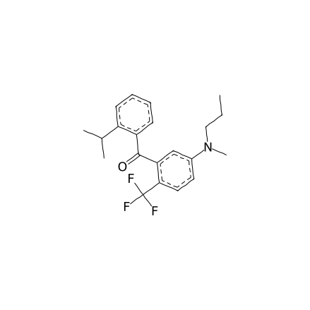 CCCN(C)c1ccc(C(F)(F)F)c(C(=O)c2ccccc2C(C)C)c1